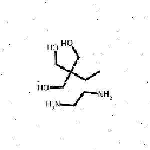 CCC(CO)(CO)CO.NCCN